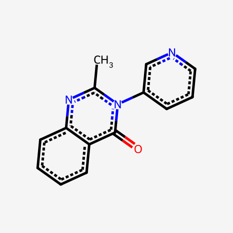 Cc1nc2ccccc2c(=O)n1-c1cccnc1